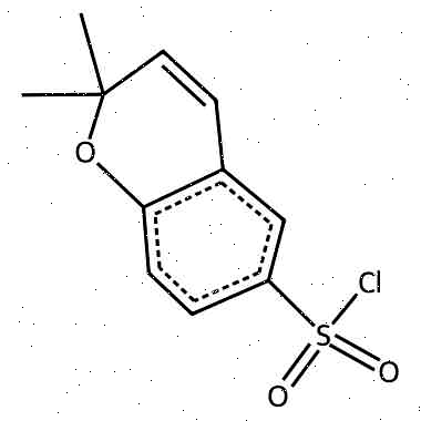 CC1(C)C=Cc2cc(S(=O)(=O)Cl)ccc2O1